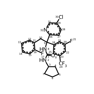 O=C(NC1CCCC1)NC(Cc1ccccc1F)(c1cc(F)cc(C(F)(F)F)c1)c1ccc(Cl)cn1